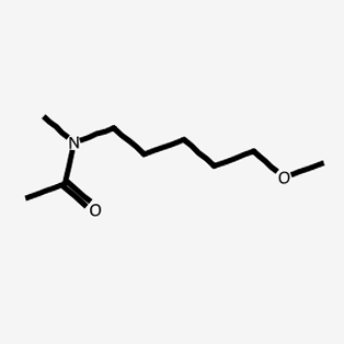 COCCCCCN(C)C(C)=O